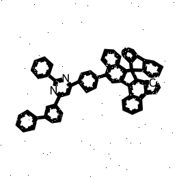 c1ccc(-c2cccc(-c3cc(-c4ccc(-c5cc6c(c7ccccc57)C5(c7ccccc7-c7ccccc75)c5c-6c6ccccc6c6ccccc56)cc4)nc(-c4ccccc4)n3)c2)cc1